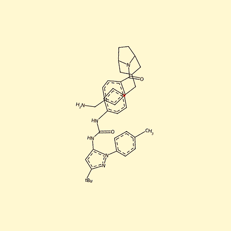 Cc1ccc(-n2nc(C(C)(C)C)cc2NC(=O)Nc2ccc(CC3CC4CCC(C3)N4C(=O)c3ccc(CN)cc3)cc2)cc1